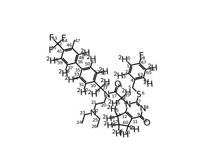 [2H]c1c([2H])c(CSc2nc(=O)c3c(n2C([2H])([2H])C(=O)N(CCN(CC)CC)C([2H])([2H])c2c([2H])c([2H])c(-c4c([2H])c([2H])c(C(F)(F)F)c(C)c4[2H])c([2H])c2[2H])C([2H])([2H])C([2H])([2H])C3([2H])[2H])c([2H])c([2H])c1F